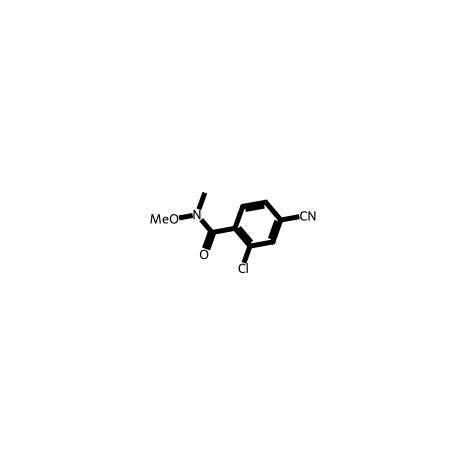 CON(C)C(=O)c1ccc(C#N)cc1Cl